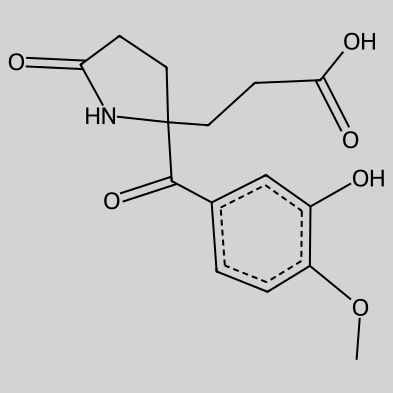 COc1ccc(C(=O)C2(CCC(=O)O)CCC(=O)N2)cc1O